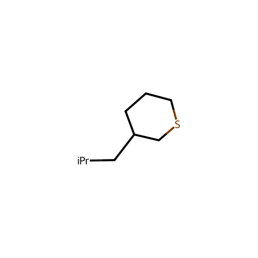 CC(C)CC1CCCSC1